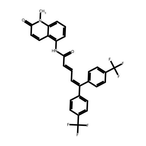 Cn1c(=O)ccc2c(NC(=O)/C=C/C=C(c3ccc(C(F)(F)F)cc3)c3ccc(C(F)(F)F)cc3)cccc21